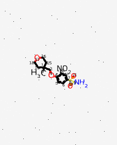 CC1(COc2ccc(S(N)(=O)=O)cc2[N+](=O)[O-])CCOCC1